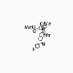 CCCN1C=NC(CCC(=O)OC)(OC(=O)OC)C1CC1CCC(C(c2ccc(F)cc2)N(C)C)CC1